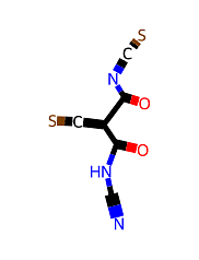 N#CNC(=O)C(=C=S)C(=O)N=C=S